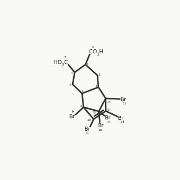 O=C(O)C1CC2C(CC1C(=O)O)C1(Br)C(Br)=C(Br)C2(Br)C1(Br)Br